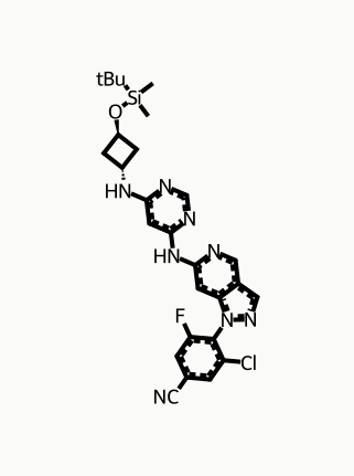 CC(C)(C)[Si](C)(C)O[C@H]1C[C@H](Nc2cc(Nc3cc4c(cn3)cnn4-c3c(F)cc(C#N)cc3Cl)ncn2)C1